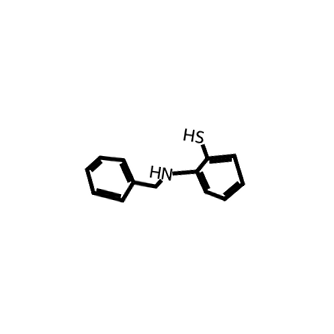 Sc1ccccc1NCc1ccccc1